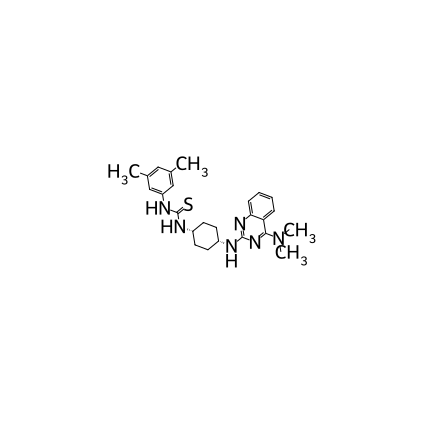 Cc1cc(C)cc(NC(=S)N[C@H]2CC[C@@H](Nc3nc(N(C)C)c4ccccc4n3)CC2)c1